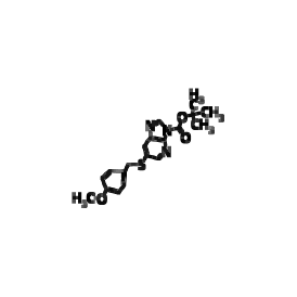 COc1ccc(CSc2cnc3c(c2)ncn3C(=O)OC(C)(C)C)cc1